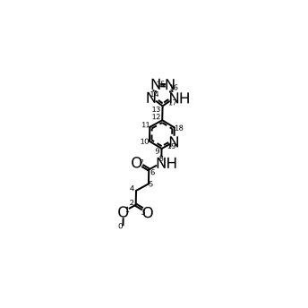 COC(=O)CCC(=O)Nc1ccc(-c2nnn[nH]2)cn1